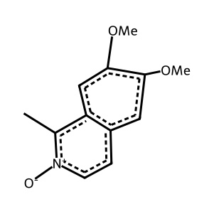 COc1cc2cc[n+]([O-])c(C)c2cc1OC